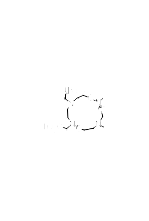 CN1CCCN(CC(=O)O)CCN(CC(C)(C)C)CCCN(C)CC1